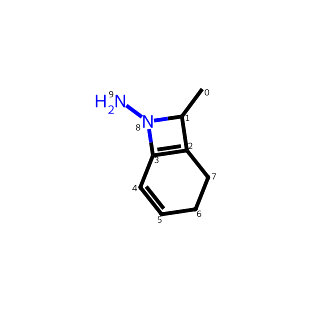 CC1C2=C(C=CCC2)N1N